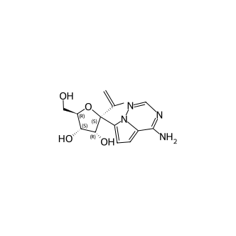 C=C(C)[C@@]1(c2ccc3c(N)ncnn23)O[C@H](CO)[C@@H](O)[C@H]1O